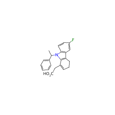 CC(c1ccccc1)n1c2c(c3cc(F)ccc31)CCC=C2CC(=O)O